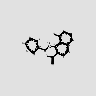 C=C(C)c1ccc2cccc(C)c2c1OCc1ccccc1